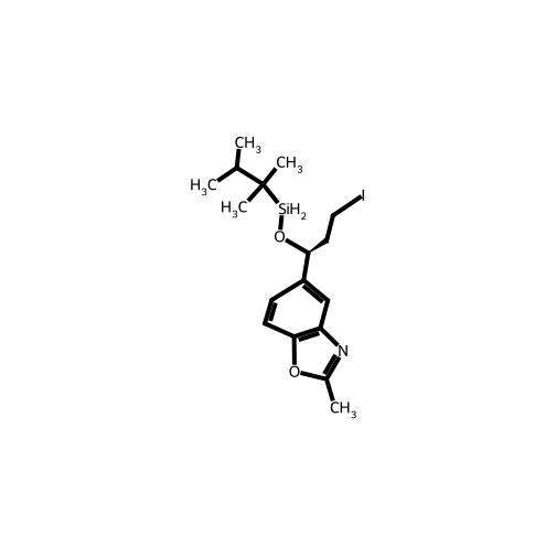 Cc1nc2cc([C@H](CCI)O[SiH2]C(C)(C)C(C)C)ccc2o1